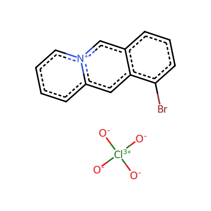 Brc1cccc2c[n+]3ccccc3cc12.[O-][Cl+3]([O-])([O-])[O-]